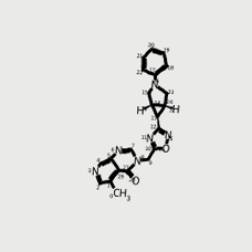 Cc1cncc2ncn(Cc3nc([C@H]4[C@@H]5CN(c6ccccc6)C[C@@H]54)no3)c(=O)c12